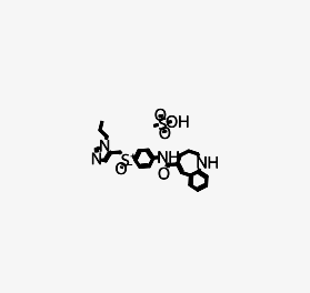 CCCn1cncc1C[S+]([O-])c1ccc(NC(=O)C2=Cc3ccccc3NCCC2)cc1.CS(=O)(=O)O